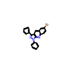 Brc1ccc2nc3c(cc2c1)c(-c1ccccc1)nn3-c1ccccc1